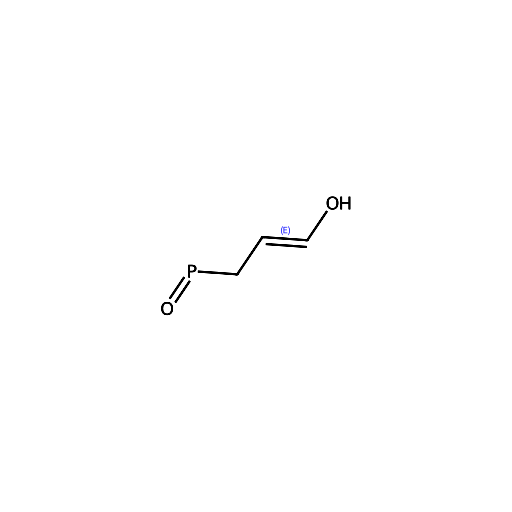 O=PC/C=C/O